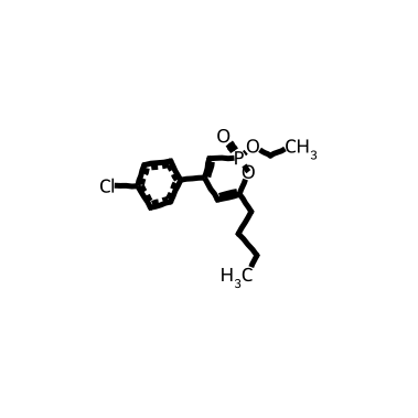 CCCCC1=CC(c2ccc(Cl)cc2)=CP(=O)(OCC)O1